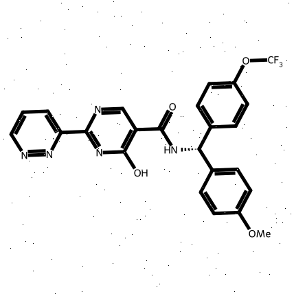 COc1ccc([C@H](NC(=O)c2cnc(-c3cccnn3)nc2O)c2ccc(OC(F)(F)F)cc2)cc1